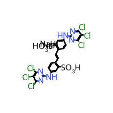 O=S(=O)(O)c1cc(Nc2nc(Cl)c(Cl)c(Cl)n2)ccc1C=Cc1ccc(Nc2nc(Cl)c(Cl)c(Cl)n2)cc1S(=O)(=O)O.[NaH].[NaH]